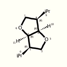 CC(C)[C@@H]1CO[C@H]2[C@@H]1OC[C@H]2C(C)C